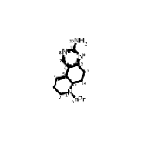 CCCN1CCC=C2c3cnc(N)nc3CCC21